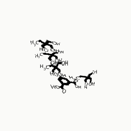 CCC(CO)(CO)CO.CCC(CO)(CO)CO.CCC(CO)(CO)CO.CCC(CO)(CO)CO.O=C(O)c1cccc(C(=O)O)c1